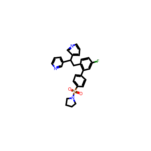 O=S(=O)(c1ccc(-c2cc(F)ccc2CC(c2cccnc2)c2cccnc2)cc1)N1CCCC1